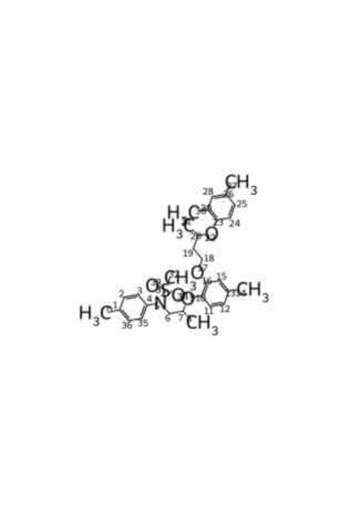 Cc1ccc(N(CC(C)Oc2ccc(C)cc2OCCC(C)Oc2ccc(C)cc2C)S(C)(=O)=O)cc1